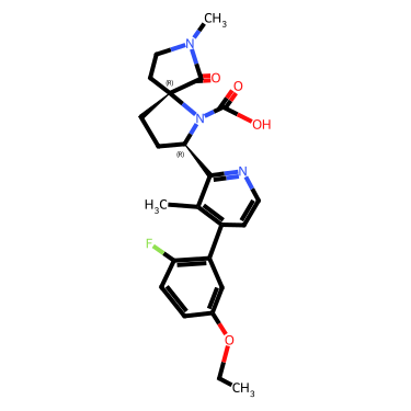 CCOc1ccc(F)c(-c2ccnc([C@H]3CC[C@]4(CCN(C)C4=O)N3C(=O)O)c2C)c1